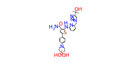 CC(C)(O)c1cn(Cc2cccc(Nc3sc(-c4ccc(N5CCS(O)(O)CC5)cc4)cc3C(N)=O)n2)nn1